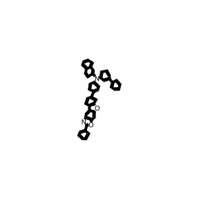 c1ccc(-c2cccc(N(c3ccc(-c4ccc5c(c4)oc4cc6oc(-c7ccccc7)nc6cc45)cc3)c3ccc4ccccc4c3)c2)cc1